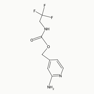 Nc1cc(COC(=O)NCC(F)(F)F)ccn1